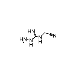 CNNC(=N)NCC#N